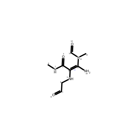 CNC(=O)/C(NCC=O)=C(/N)N(C)C=O